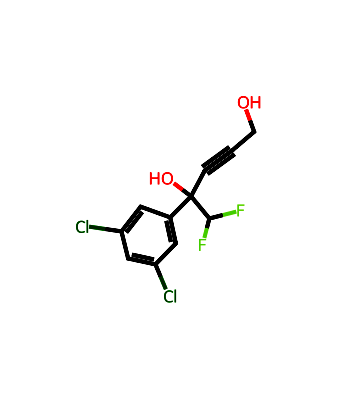 OCC#CC(O)(c1cc(Cl)cc(Cl)c1)C(F)F